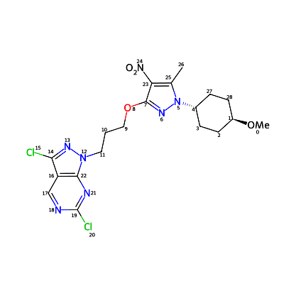 CO[C@H]1CC[C@H](n2nc(OCCCn3nc(Cl)c4cnc(Cl)nc43)c([N+](=O)[O-])c2C)CC1